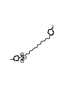 Cc1ccc(S(=O)(=O)OCCCCCCCCCCCCc2ccc(I)cc2)cc1